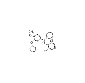 COc1ccc(/C(=C/c2c(Cl)cncc2Cl)c2ccccc2)cc1OC1CCCC1